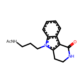 CC(=O)NCCCn1c2c(c3ccccc31)C(=O)NCC2